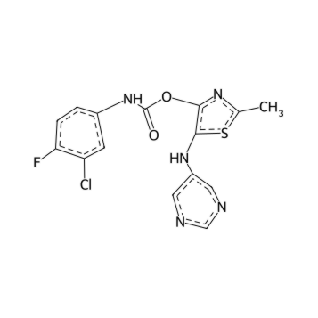 Cc1nc(OC(=O)Nc2ccc(F)c(Cl)c2)c(Nc2cncnc2)s1